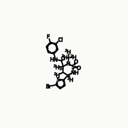 [2H]C1[C@]([2H])(C(=O)Nc2ccc(F)c(Cl)c2)N(C([2H])([2H])[2H])S(=O)(=O)N[C@]1([2H])c1ccc(Br)s1